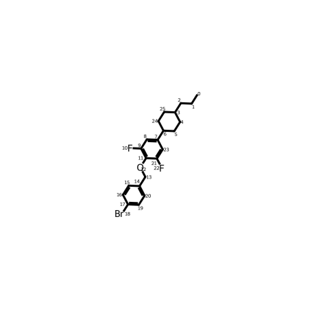 CCCC1CCC(c2cc(F)c(OCc3ccc(Br)cc3)c(F)c2)CC1